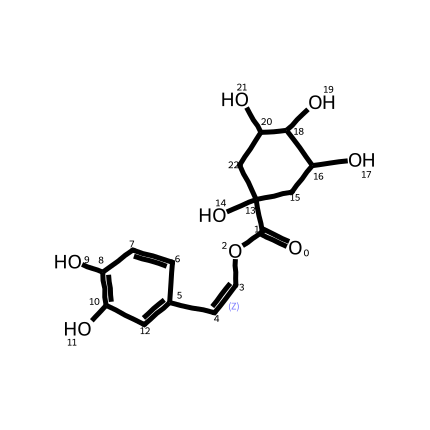 O=C(O/C=C\c1ccc(O)c(O)c1)C1(O)CC(O)C(O)C(O)C1